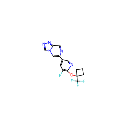 Fc1cc(-c2cn3cnnc3cn2)cnc1OC1(C(F)(F)F)CCC1